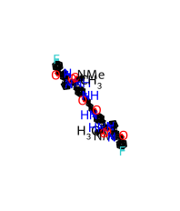 CN[C@@H](C)C(=O)N[C@@H](Cc1ccc(NC(=O)CCCCC(=O)Nc2ccc(C[C@H](NC(=O)[C@H](C)NC)C(=O)N3CCC[C@H]3c3cncc(C(=O)c4ccc(F)cc4)c3)cc2)cc1)C(=O)N1CCC[C@H]1c1cncc(C(=O)c2ccc(F)cc2)c1